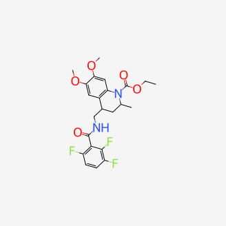 CCOC(=O)N1c2cc(OC)c(OC)cc2C(CNC(=O)c2c(F)ccc(F)c2F)CC1C